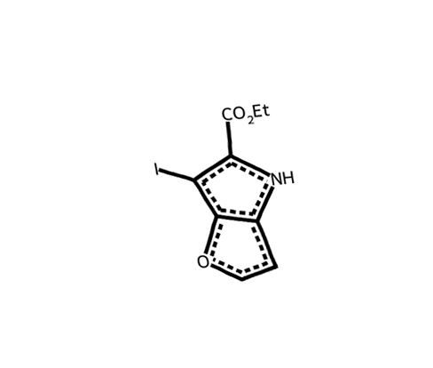 CCOC(=O)c1[nH]c2ccoc2c1I